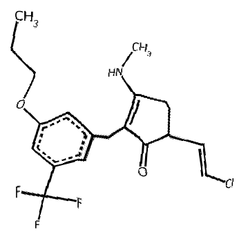 CCCOc1cc(C2=C(NC)CC(C=CCl)C2=O)cc(C(F)(F)F)c1